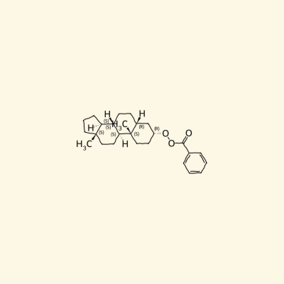 C[C@@]12CCC[C@H]1[C@@H]1CC[C@@H]3C[C@H](OOC(=O)c4ccccc4)CC[C@]3(C)[C@H]1CC2